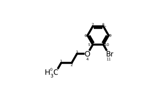 CCCCOc1cc[c]cc1Br